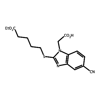 CCOC(=O)CCCCSc1nc2cc(C#N)ccc2n1CC(=O)O